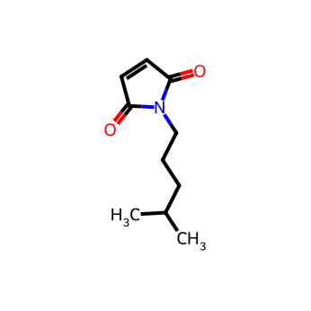 CC(C)CCCN1C(=O)C=CC1=O